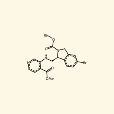 COC(=O)c1ccncc1NC[C@@H]1c2ccc(Br)cc2CN1C(=O)OC(C)(C)C